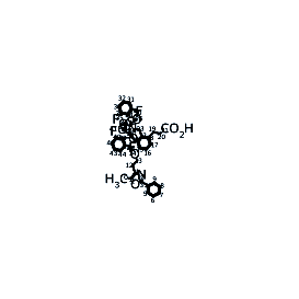 Cc1oc(-c2ccccc2)nc1CCOc1ccc(CCC(=O)O)c(CN(S(=O)(=O)c2c(F)cccc2F)S(=O)(=O)c2c(F)cccc2F)c1